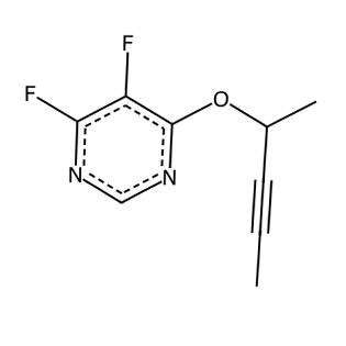 CC#CC(C)Oc1ncnc(F)c1F